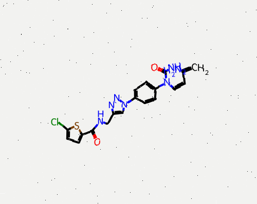 C=C(N)/C=C\N(C(N)=O)c1ccc(-n2cc(CNC(=O)c3ccc(Cl)s3)nn2)cc1